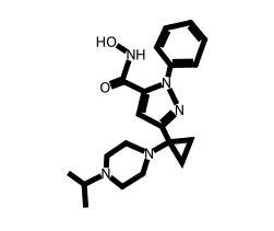 CC(C)N1CCN(C2(c3cc(C(=O)NO)n(-c4ccccc4)n3)CC2)CC1